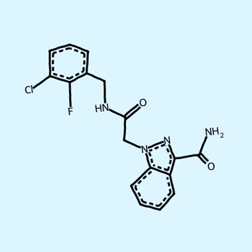 NC(=O)c1nn(CC(=O)NCc2cccc(Cl)c2F)c2ccccc12